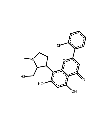 CN1CCC(c2c(O)cc(O)c3c(=O)cc(-c4ccccc4Cl)oc23)C1CS